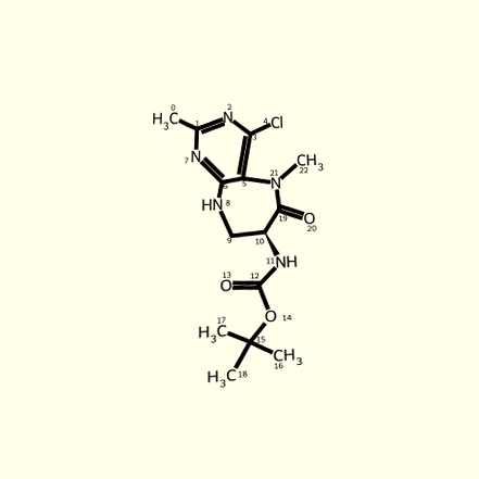 Cc1nc(Cl)c2c(n1)NC[C@H](NC(=O)OC(C)(C)C)C(=O)N2C